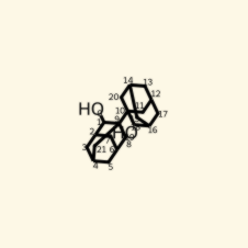 OC1C2CC3CC(C2)CC1(C12CC4CC(CC(C4)C1O)C2)C3